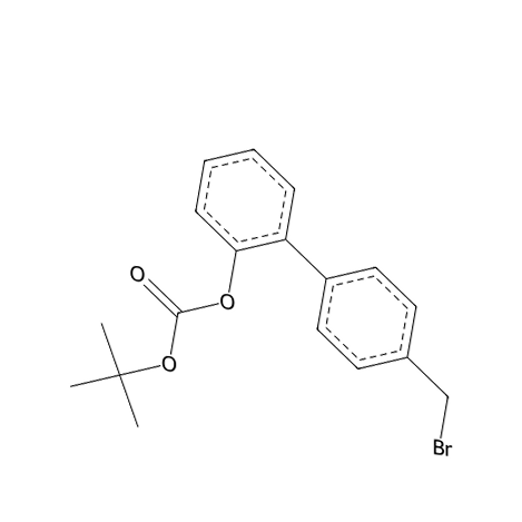 CC(C)(C)OC(=O)Oc1ccccc1-c1ccc(CBr)cc1